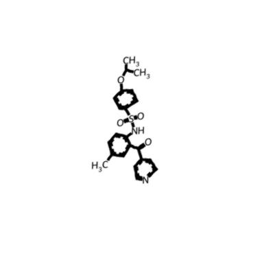 Cc1ccc(NS(=O)(=O)c2ccc(OC(C)C)cc2)c(C(=O)c2ccncc2)c1